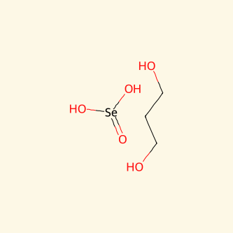 O=[Se](O)O.OCCCO